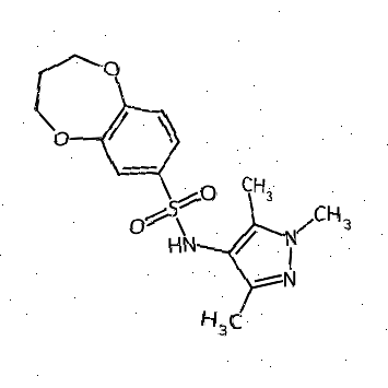 Cc1nn(C)c(C)c1NS(=O)(=O)c1ccc2c(c1)OCCCO2